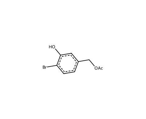 CC(=O)OCc1ccc(Br)c(O)c1